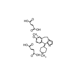 COc1ccc2c(c1)CCn1ccnc1C2=C1CCN(C)CC1.O=C(O)C=CC(=O)O.O=C(O)C=CC(=O)O